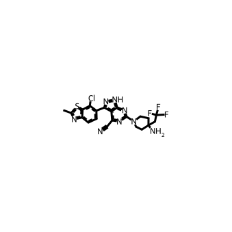 Cc1nc2ccc(-c3n[nH]c4nc(N5CCC(N)(CC(F)(F)F)CC5)nc(C#N)c34)c(Cl)c2s1